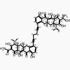 CN(C)[C@@H]1C(O)=C(C(N)=O)C(=O)[C@@]2(O)C(O)=C3C(=O)c4c(O)ccc(C#CCCC#Cc5ccc(O)c6c5C[C@H]5C[C@H]7[C@H](N(C)C)C(O)=C(C(N)O)C(=O)[C@@]7(O)C(O)=C5C6=O)c4C[C@H]3C[C@@H]12